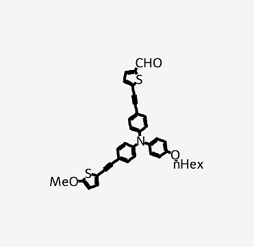 CCCCCCOc1ccc(N(c2ccc(C#Cc3ccc(C=O)s3)cc2)c2ccc(C#Cc3ccc(OC)s3)cc2)cc1